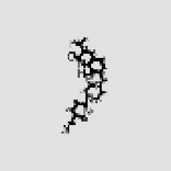 CC(F)c1cc2ccc(CN3CCN(c4ccc(C#N)cn4)CC3)c(F)c2[nH]c1=O